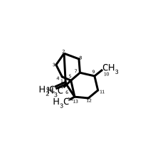 C=C1C2CCC3(C)C(C2)C(C)CCC13C